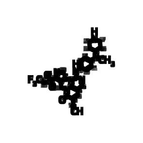 C#Cc1cc2cnc(Nc3ccc(N(C)C4CCNCC4)cc3)nc2n(Cc2scnc2S(=O)(=O)CC(F)(F)F)c1=O